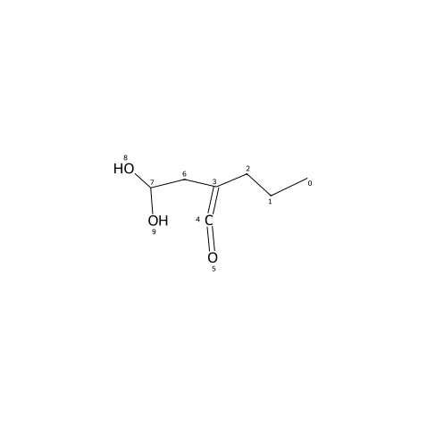 CCCC(=C=O)CC(O)O